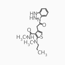 CCCN(C)c1scc(CC(=O)N2NNc3ccccc32)c1C(=O)NC